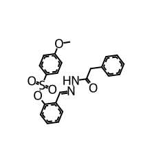 COc1ccc(S(=O)(=O)Oc2ccccc2C=NNC(=O)Cc2ccccc2)cc1